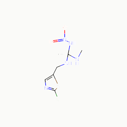 CN[C@@](C)(NCc1cnc(Cl)s1)N[N+](=O)[O-]